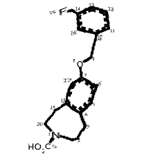 O=C(O)N1CCc2ccc(OCc3cccc(F)c3)cc2CC1